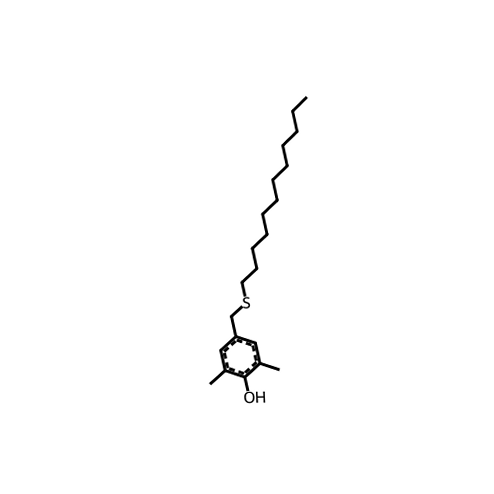 CCCCCCCCCCCCSCc1cc(C)c(O)c(C)c1